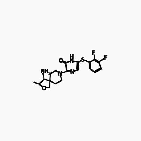 C[C@@H]1OCC2(CCN(c3ncc(Sc4cccc(F)c4F)[nH]c3=O)CC2)[C@@H]1N